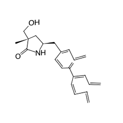 C=C/C=C\C(=C/C=C)C(=C)/C=C\C(=C/C=C)C[C@@H]1C[C@@](C)(CO)C(=O)N1